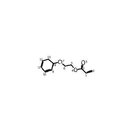 C=CC(=O)OCCOC1C=CC=CC1